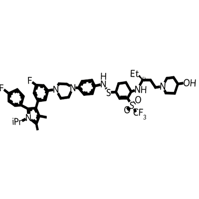 CC[C@@H](CCN1CCC(O)CC1)NC1CCC(SNc2ccc(N3CCN(c4cc(F)cc(-c5c(C)c(C)n(C(C)C)c5-c5ccc(F)cc5)c4)CC3)cc2)C=C1S(=O)(=O)C(F)(F)F